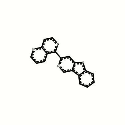 c1ccc2c(c1)sc1cc(-c3nccc4ncccc34)ncc12